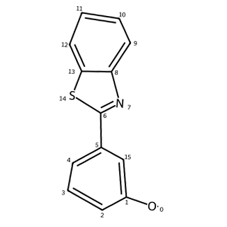 [O]c1cccc(-c2nc3ccccc3s2)c1